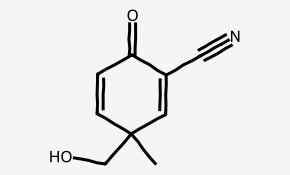 CC1(CO)C=CC(=O)C(C#N)=C1